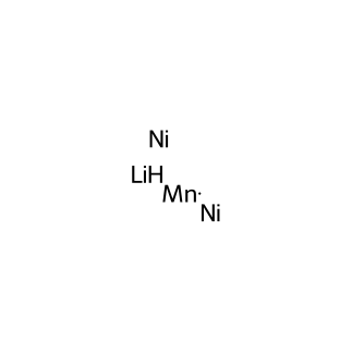 [LiH].[Mn].[Ni].[Ni]